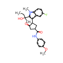 CCC(C)(O)c1c(C2CC(C(=O)Nc3ccc(OC)cc3)CC2=O)c2cc(F)ccc2n1C